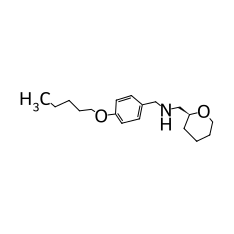 CCCCCOc1ccc(CNC[C@@H]2CCCCO2)cc1